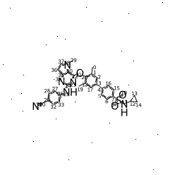 Cc1cc(-c2ccc(S(=O)(=O)NC3CC3)cc2)cc(C)c1Oc1nc(Nc2ccc(C#N)cc2)nc2ccn(C)c12